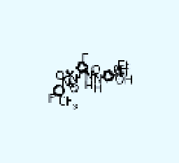 CCOP(=O)(O)c1ccc(NC(=O)Nc2cc(F)ccc2CN2C(=O)N(c3ccc(F)c(C(F)(F)F)c3)C(=O)C2(C)C)cc1